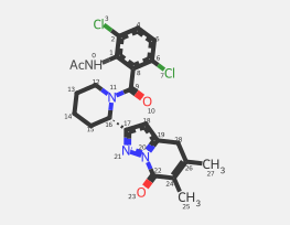 CC(=O)Nc1c(Cl)ccc(Cl)c1C(=O)N1CCCC[C@H]1c1cc2n(n1)C(=O)C(C)=C(C)C2